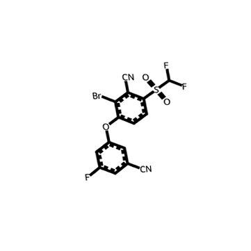 N#Cc1cc(F)cc(Oc2ccc(S(=O)(=O)C(F)F)c(C#N)c2Br)c1